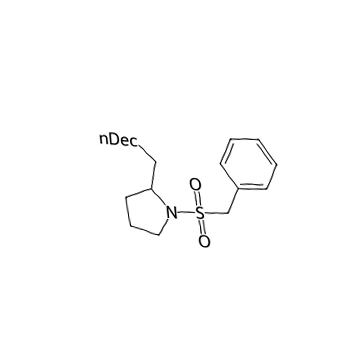 CCCCCCCCCCCC1CCCN1S(=O)(=O)Cc1ccccc1